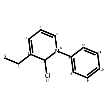 CCC1=CC=CN(c2ccccc2)C1Cl